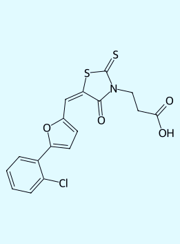 O=C(O)CCN1C(=O)/C(=C\c2ccc(-c3ccccc3Cl)o2)SC1=S